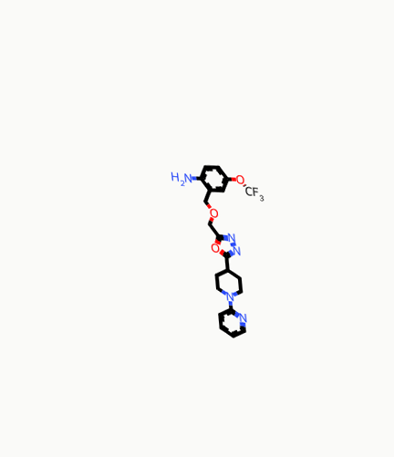 Nc1ccc(OC(F)(F)F)cc1COCc1nnc(C2CCN(c3ccccn3)CC2)o1